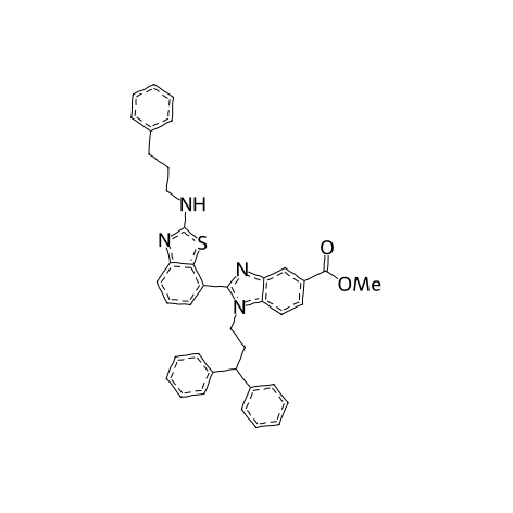 COC(=O)c1ccc2c(c1)nc(-c1cccc3nc(NCCCc4ccccc4)sc13)n2CCC(c1ccccc1)c1ccccc1